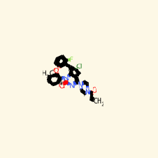 C=CC(=O)N1CCN(C2=NC(=O)N3C4CC(c5c(F)cccc5OC5(C)CCCC[C@H]35)C(Cl)CC24)CC1